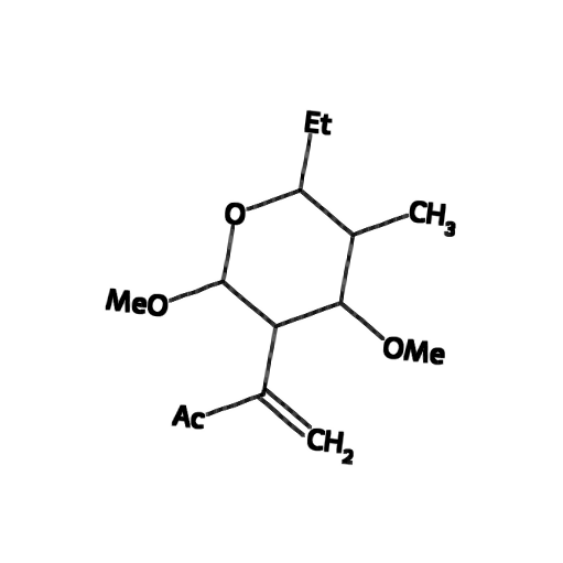 C=C(C(C)=O)C1C(OC)OC(CC)C(C)C1OC